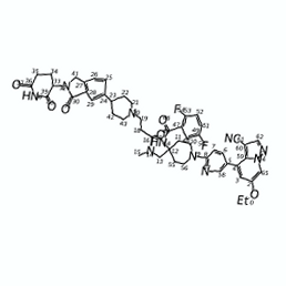 CCOc1cc(-c2ccc(N3CCC(CN(C)C(=O)CCN4CCC(c5ccc6c(c5)C(=O)N(C5CCC(=O)NC5=O)C6)CC4)(NC(=O)c4cc(F)ccc4F)CC3)nc2)c2c(C#N)cnn2c1